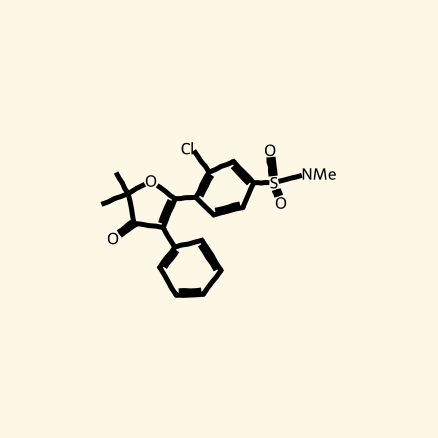 CNS(=O)(=O)c1ccc(C2=C(c3ccccc3)C(=O)C(C)(C)O2)c(Cl)c1